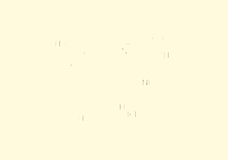 CC(=O)OCc1c(C)nc(CC(C)(C)C)c(CN)c1-c1ccc(C)cc1.Cl.Cl